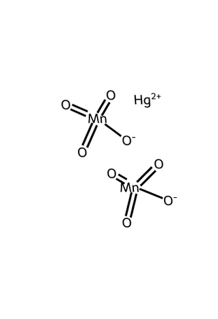 [Hg+2].[O]=[Mn](=[O])(=[O])[O-].[O]=[Mn](=[O])(=[O])[O-]